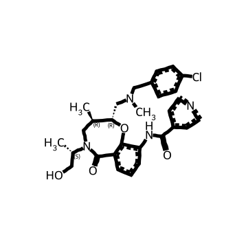 C[C@@H]1CN([C@@H](C)CO)C(=O)c2cccc(NC(=O)c3ccncc3)c2O[C@H]1CN(C)Cc1ccc(Cl)cc1